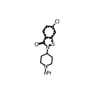 CCCN1CCC(n2sc3cc(Cl)ccc3c2=O)CC1